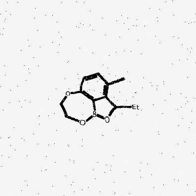 CCC1OB2OCCOc3ccc(C)c1c32